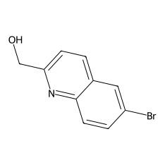 OCc1ccc2cc(Br)ccc2n1